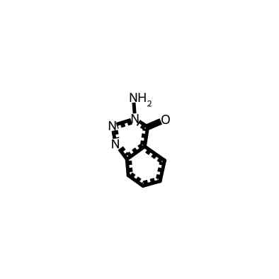 Nn1nnc2ccccc2c1=O